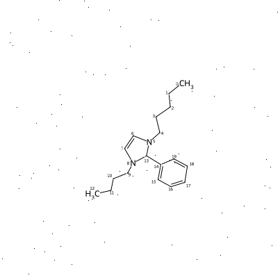 CCCCCN1C=CN(CCCC)C1c1ccccc1